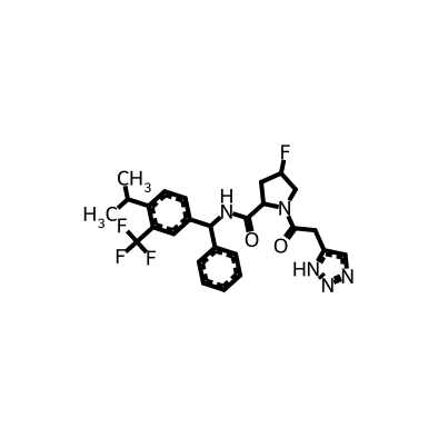 CC(C)c1ccc(C(NC(=O)C2CC(F)CN2C(=O)Cc2cnn[nH]2)c2ccccc2)cc1C(F)(F)F